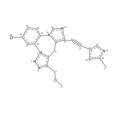 COCc1nnn2c1Cc1c(C#Cc3cnc(C)s3)ncn1-c1ccc(Cl)cc1-2